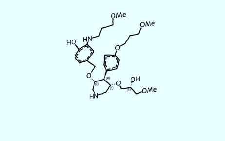 COCCCNc1cc(CO[C@H]2CNC[C@@H](OC[C@H](O)COC)[C@@H]2c2ccc(OCCCOC)cc2)ccc1O